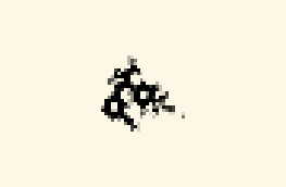 N#Cc1cccc(-c2noc(C(F)F)c2-c2cc(F)c(S(N)(=O)=O)c(F)c2)c1